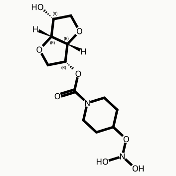 O=C(O[C@@H]1CO[C@H]2[C@@H]1OC[C@H]2O)N1CCC(ON(O)O)CC1